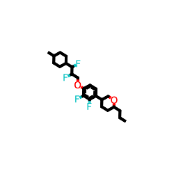 CCCC1CCC(c2ccc(OCC(F)C(F)C3CCC(C)CC3)c(F)c2F)CO1